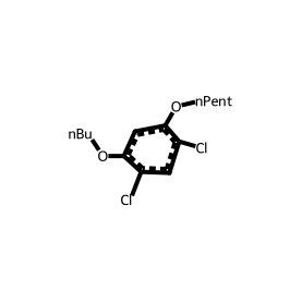 [CH2]CCCOc1cc(OCCCCC)c(Cl)cc1Cl